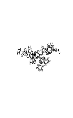 CC(C)(C)OC(=O)N[C@@H]1C(=O)N2[C@@H](C(=O)OC(c3ccccc3)c3ccccc3)C(C=C3CCN(c4sccc4C(N)=O)C3=O)=CS[C@H]12